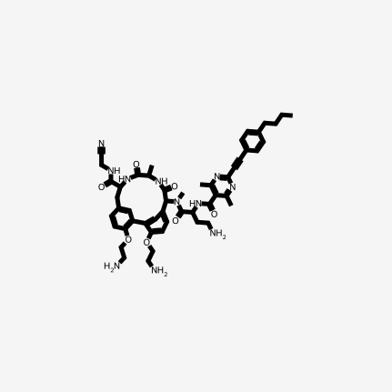 CCCCc1ccc(C#Cc2nc(C)c(C(=O)NC(CCN)C(=O)N(C)C3C(=O)NC(C)C(=O)NC(C(=O)NCC#N)Cc4ccc(OCCN)c(c4)-c4cc3ccc4OCCN)c(C)n2)cc1